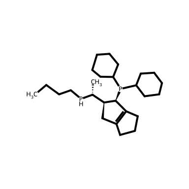 CCCCP[C@H](C)[C@@H]1CC2=C(CCC2)[C@@H]1P(C1CCCCC1)C1CCCCC1